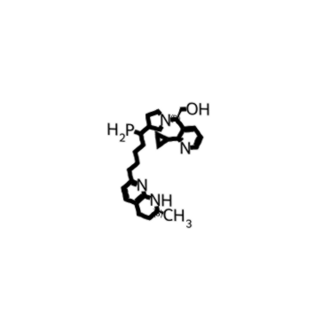 C[C@H]1CCc2ccc(CCCCC(P)C3CCN([C@@H](CO)c4cccnc4C4CC4)C3)nc2N1